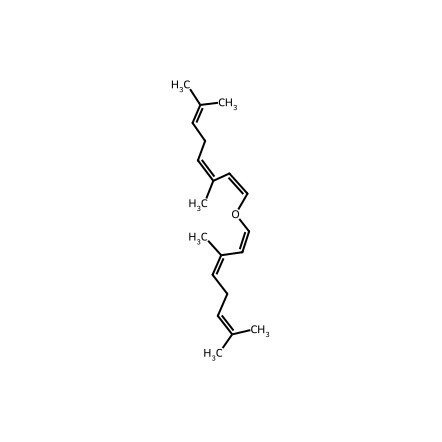 CC(C)=CC/C=C(C)\C=C/O/C=C\C(C)=C/CC=C(C)C